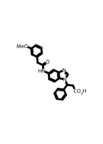 COc1cccc(CC(=O)Nc2ccc3c(c2)ncn3C(CC(=O)O)c2ccccc2)c1